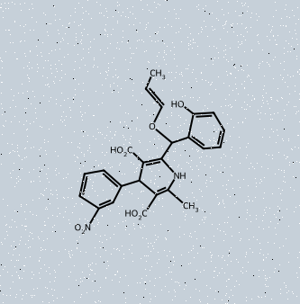 CC=COC(C1=C(C(=O)O)C(c2cccc([N+](=O)[O-])c2)C(C(=O)O)=C(C)N1)c1ccccc1O